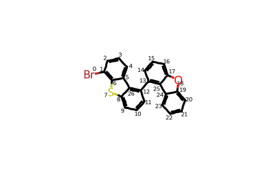 Brc1cccc2c1sc1cccc(-c3cccc4oc5ccccc5c34)c12